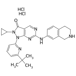 CC(C)(C)c1cccc(-n2c3nc(Nc4ccc5c(c4)CNCC5)ncc3c(=O)n2C2CC2)n1.Cl.Cl